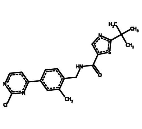 Cc1cc(-c2ccnc(Cl)n2)ccc1CNC(=O)c1cnc(C(C)(C)C)s1